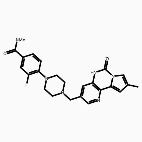 CNC(=O)c1ccc(N2CCN(Cc3cnc4c(c3)[nH]c(=O)n3cc(C)cc43)CC2)c(F)c1